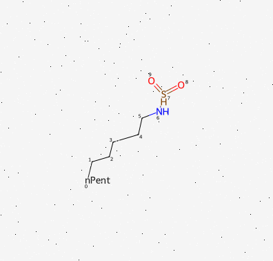 CCCCCCCCCCN[SH](=O)=O